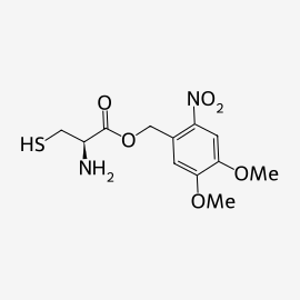 COc1cc(COC(=O)[C@@H](N)CS)c([N+](=O)[O-])cc1OC